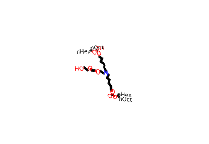 CCCCCCCCC(CCCCCC)OC(=O)OCCCCCCN(CCCCCCOC(O)OC(CCCCCC)CCCCCCCC)CCOCCOCCO